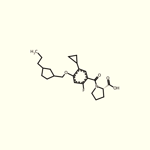 CCCC1CCC(COc2cc(F)c(C(=O)N3CCC[C@H]3C(=O)O)cc2C2CC2)C1